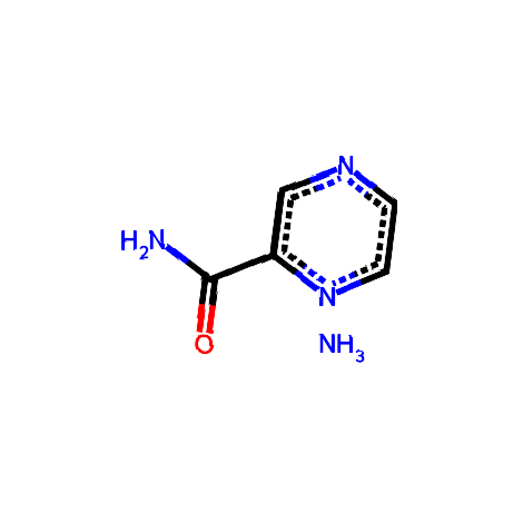 N.NC(=O)c1cnccn1